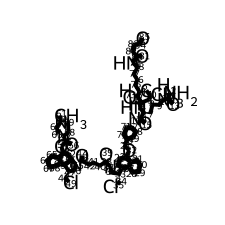 CC(C)CC(N[C@@H](CCCNC(N)=O)C(=O)Nc1ccc(COc2cc3c(c4ccccc24)[C@H](CCl)CN3C(=O)CCCC(=O)N2C[C@@H](CCl)c3c2cc(OC(=O)N2CCN(C)CC2)c2ccccc32)cc1)C(=O)CCCCCNC(=O)/C=C\C=O